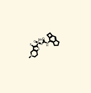 CN1CCc2sc([S@@](N)(=O)=NC(=O)Nc3c4c(cc5c3CC5)CCC4)c(F)c2C1